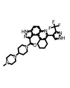 CN1CCN(C2CCN(C(=O)c3n[nH]c4ccc5nc(-c6c[nH]nc6C(F)(F)F)c6c(c5c34)CCCC6)CC2)CC1